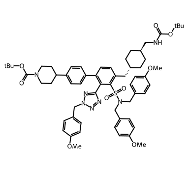 COc1ccc(CN(Cc2ccc(OC)cc2)S(=O)(=O)c2c(C[C@H]3CC[C@H](CNC(=O)OC(C)(C)C)CC3)ccc(-c3ccc(C4CCN(C(=O)OC(C)(C)C)CC4)cc3)c2-c2nnn(Cc3ccc(OC)cc3)n2)cc1